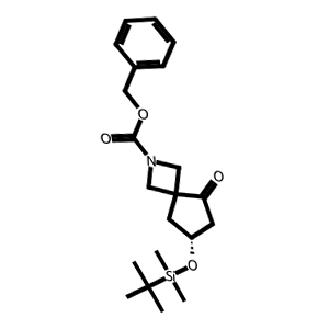 CC(C)(C)[Si](C)(C)O[C@H]1CC(=O)C2(C1)CN(C(=O)OCc1ccccc1)C2